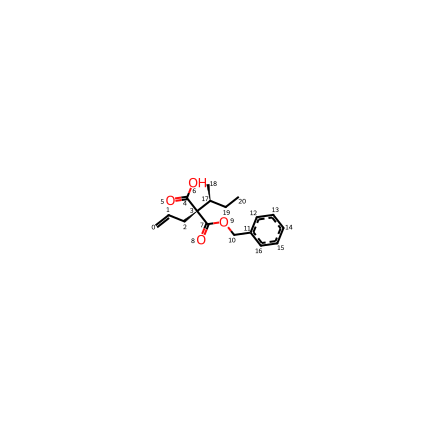 C=CC[C@](C(=O)O)(C(=O)OCc1ccccc1)[C@@H](C)CC